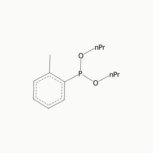 CCCOP(OCCC)c1ccccc1C